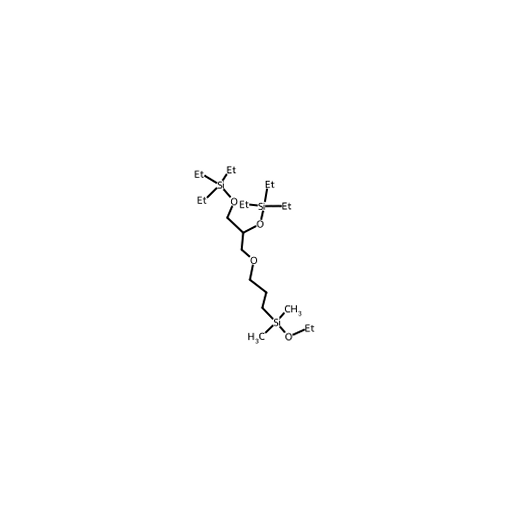 CCO[Si](C)(C)CCCOCC(CO[Si](CC)(CC)CC)O[Si](CC)(CC)CC